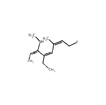 C\C=C(NC)/C(=C\C(C)=C/CF)CC